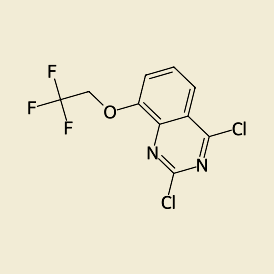 FC(F)(F)COc1cccc2c(Cl)nc(Cl)nc12